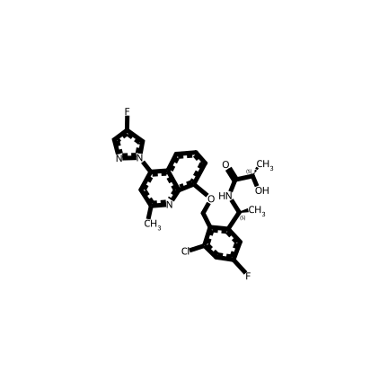 Cc1cc(-n2cc(F)cn2)c2cccc(OCc3c(Cl)cc(F)cc3[C@H](C)NC(=O)[C@H](C)O)c2n1